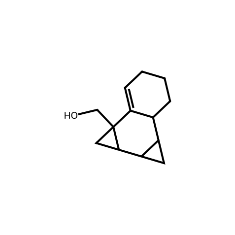 OCC12CC1C1CC1C1CCCC=C12